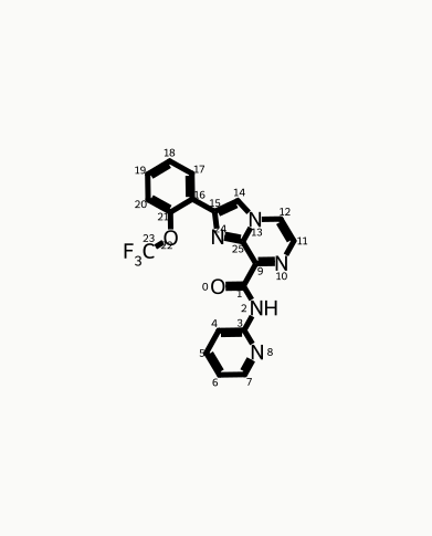 O=C(Nc1ccccn1)c1nccn2cc(-c3ccccc3OC(F)(F)F)nc12